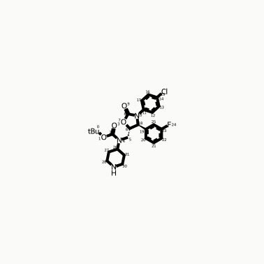 CC(C)(C)OC(=O)N(C[C@@H]1OC(=O)N(c2ccc(Cl)cc2)[C@H]1c1cccc(F)c1)C1CCNCC1